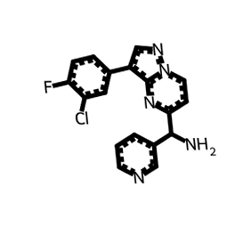 NC(c1cccnc1)c1ccn2ncc(-c3ccc(F)c(Cl)c3)c2n1